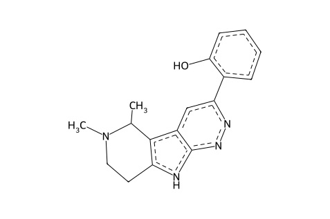 CC1c2c([nH]c3nnc(-c4ccccc4O)cc23)CCN1C